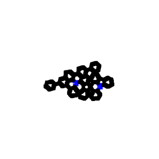 c1ccc(-c2ccc(-c3ccccc3N(c3ccccc3-c3cccc(-c4ccccc4)c3)c3cccc4c3-c3ccccc3C43c4ccccc4-n4c5ccccc5c5cccc3c54)cc2)cc1